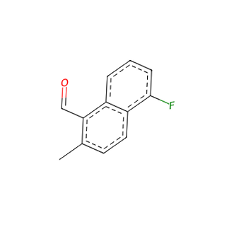 Cc1ccc2c(F)cccc2c1C=O